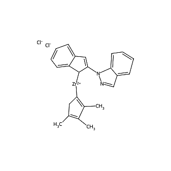 CC1=C(C)C(C)=[C]([Zr+2][CH]2C(n3ncc4ccccc43)=Cc3ccccc32)C1.[Cl-].[Cl-]